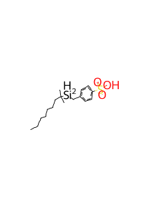 CCCCCCCC(C)(C)[SiH2]Cc1ccc(S(=O)(=O)O)cc1